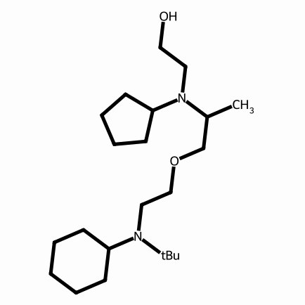 CC(COCCN(C1CCCCC1)C(C)(C)C)N(CCO)C1CCCC1